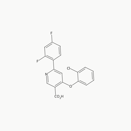 O=C(O)c1cnc(-c2ccc(F)cc2F)cc1Oc1ccccc1Cl